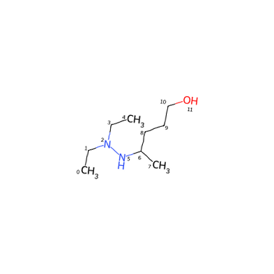 CCN(CC)NC(C)CCCO